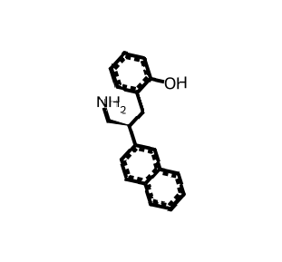 NC[C@@H](Cc1ccccc1O)c1ccc2ccccc2c1